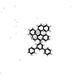 c1ccc(-c2cc(-c3ccccc3)cc(-c3c4ccccc4c(-c4cccc5ccccc45)c4c3cnc3ccccc34)c2)cc1